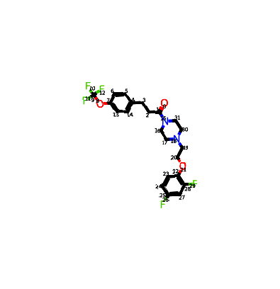 O=C(CCc1ccc(OC(F)(F)F)cc1)N1CCN(CCOc2ccc(F)cc2F)CC1